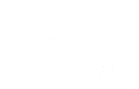 Cn1cc(/C(CC(c2ccc(-c3ccc(CC(=O)O)cc3)cc2)c2ccc(Cl)cc2F)=N/O)ccc1=O